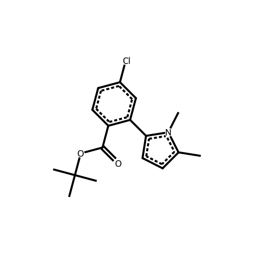 Cc1ccc(-c2cc(Cl)ccc2C(=O)OC(C)(C)C)n1C